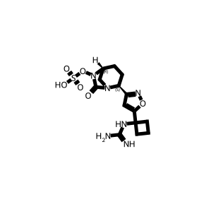 N=C(N)NC1(c2cc([C@@H]3CC[C@@H]4CN3C(=O)N4OS(=O)(=O)O)no2)CCC1